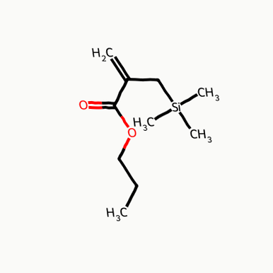 C=C(C[Si](C)(C)C)C(=O)OCCC